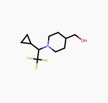 OCC1CCN(C(C2CC2)C(F)(F)F)CC1